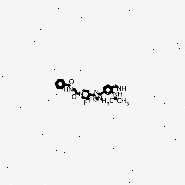 CC(C)Nc1cc(-c2noc(C3CCN(C(=O)CNC(=O)c4ccccc4)CC3(F)F)n2)ccc1C=N